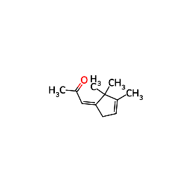 CC(=O)C=C1CC=C(C)C1(C)C